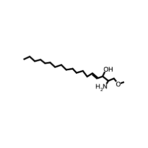 CCCCCCCCCCCCC/C=C/C(O)C(N)COC